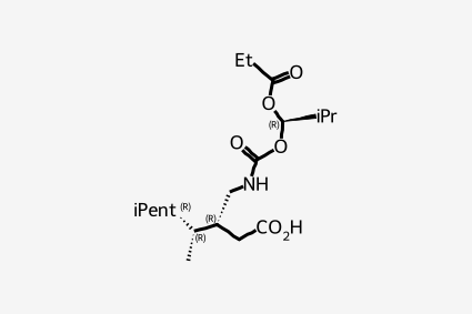 CCC[C@@H](C)[C@@H](C)[C@H](CNC(=O)O[C@@H](OC(=O)CC)C(C)C)CC(=O)O